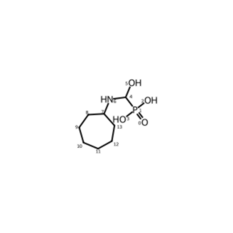 O=P(O)(O)C(O)NC1CCCCCC1